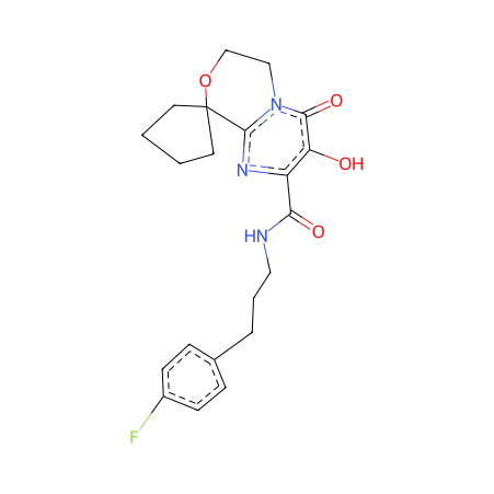 O=C(NCCCc1ccc(F)cc1)c1nc2n(c(=O)c1O)CCOC21CCCC1